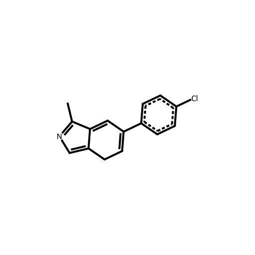 CC1=NC=C2CC=C(c3ccc(Cl)cc3)C=C21